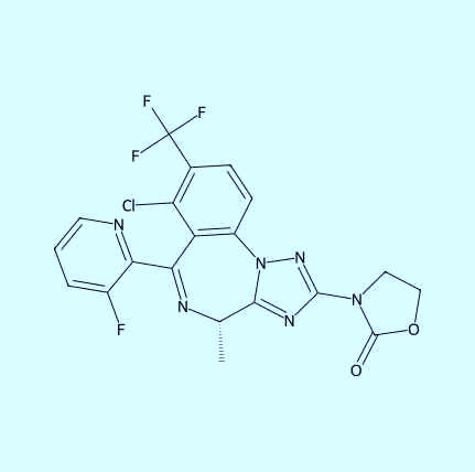 C[C@@H]1N=C(c2ncccc2F)c2c(ccc(C(F)(F)F)c2Cl)-n2nc(N3CCOC3=O)nc21